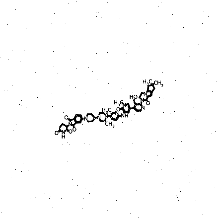 Cc1nc(Nc2cc(-c3ccnc(N4CCn5c(cc6c5CC(C)(C)C6)C4=O)c3CO)cn(C)c2=O)ccc1N1CCN(C2CCN(c3ccc4c(c3)C(=O)N(C3CCC(=O)NC3=O)C4=O)CC2)C[C@@H]1C